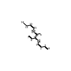 C=C\C=C/N=C(C=C)/C(C)=N/C=C\CC